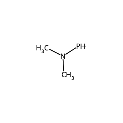 CN(C)[PH]